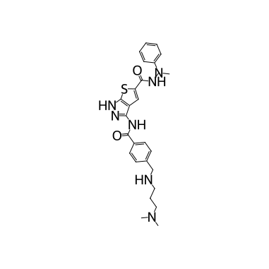 CN(C)CCCNCc1ccc(C(=O)Nc2n[nH]c3sc(C(=O)NN(C)c4ccccc4)cc23)cc1